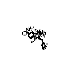 NC(=O)C1CCC(O)(C(CC(O)[CH]Cc2cccc(F)c2)C(=O)NO)CC1